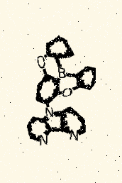 c1ccc2c(c1)Oc1ccc(-n3c4cccnc4c4ncccc43)c3c1B2c1ccccc1O3